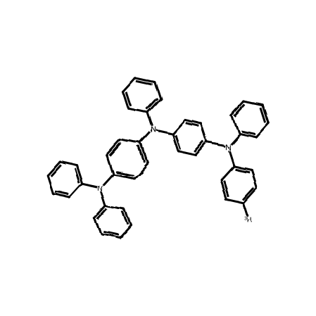 [3H]c1ccc(N(c2ccccc2)c2ccc(N(c3ccccc3)c3ccc(N(c4ccccc4)c4ccccc4)cc3)cc2)cc1